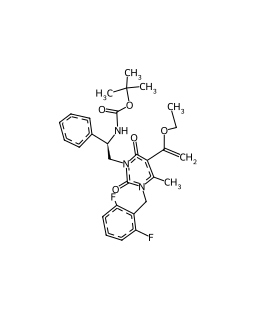 C=C(OCC)c1c(C)n(Cc2c(F)cccc2F)c(=O)n(C[C@H](NC(=O)OC(C)(C)C)c2ccccc2)c1=O